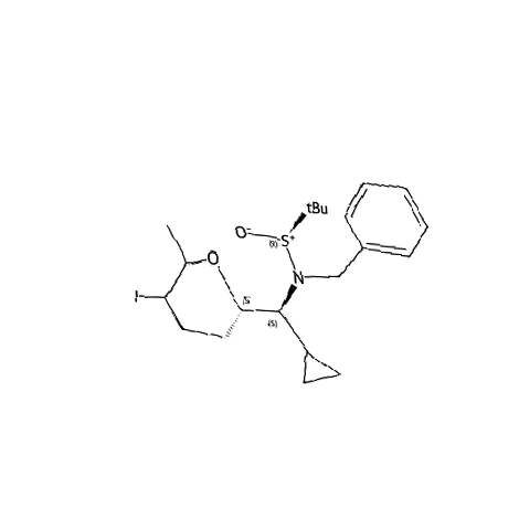 CC1O[C@H]([C@H](C2CC2)N(Cc2ccccc2)[S@@+]([O-])C(C)(C)C)CCC1I